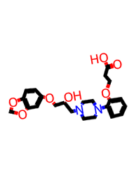 O=C(O)CCOc1ccccc1N1CCN(CC(O)COc2ccc3c(c2)OCO3)CC1